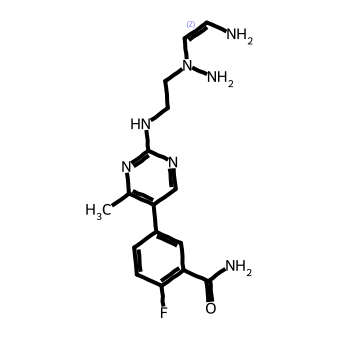 Cc1nc(NCCN(N)/C=C\N)ncc1-c1ccc(F)c(C(N)=O)c1